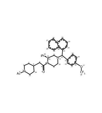 CC(=O)N1CCC(CC(=O)N2CCN(C(c3ccc(OC(F)(F)F)cc3)c3cccc4ccccc34)C[C@@H]2C(C)C)CC1